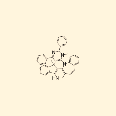 CN1C(N2C3=C(C=Cc4ccccc42)CNC2=C3C(C)(C)c3ccccc32)=CC(c2ccccc2)=NC1c1ccccc1